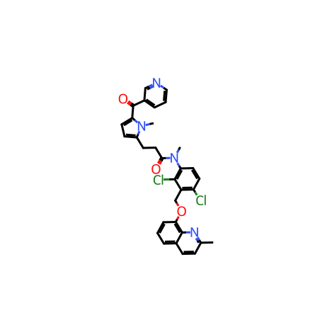 Cc1ccc2cccc(OCc3c(Cl)ccc(N(C)C(=O)CCc4ccc(C(=O)c5cccnc5)n4C)c3Cl)c2n1